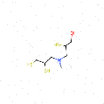 CN(CC(S)CO)CC(S)CS